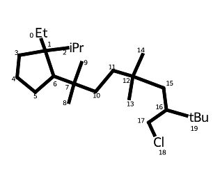 CCC1(C(C)C)CCCC1C(C)(C)CCC(C)(C)CC(CCl)C(C)(C)C